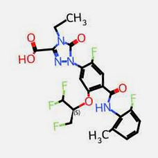 CCn1c(C(=O)O)nn(-c2cc(O[C@@H](CF)C(F)F)c(C(=O)Nc3c(C)cccc3F)cc2F)c1=O